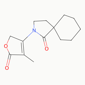 CC1=C(N2CCC3(CCCCC3)C2=O)COC1=O